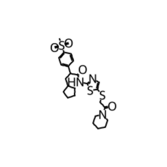 CS(=O)(=O)c1ccc(C(CC2CCCC2)C(=O)Nc2ncc(SCC(=O)N3CCCCC3)s2)cc1